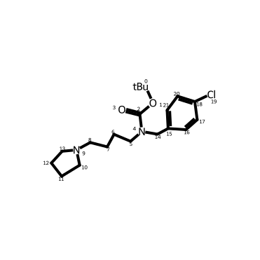 CC(C)(C)OC(=O)N(CCCCN1CCCC1)Cc1ccc(Cl)cc1